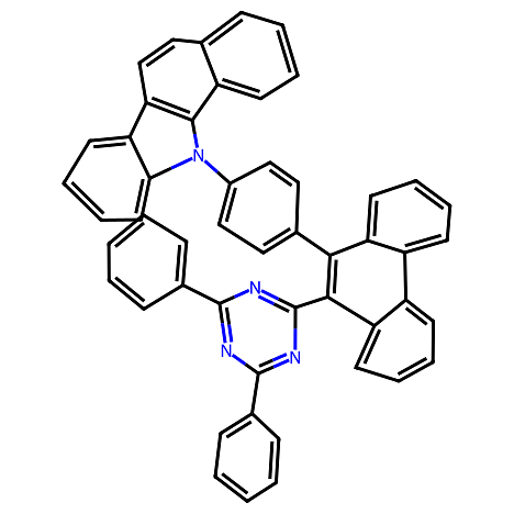 c1ccc(-c2nc(-c3ccccc3)nc(-c3c(-c4ccc(-n5c6ccccc6c6ccc7ccccc7c65)cc4)c4ccccc4c4ccccc34)n2)cc1